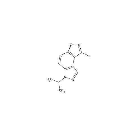 CC(C)n1ncc2c3c(I)noc3ccc21